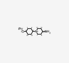 CC(C)OC1CCC(N2CCC(N)CC2)CC1